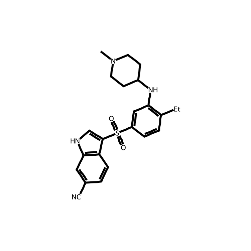 CCc1ccc(S(=O)(=O)c2c[nH]c3cc(C#N)ccc23)cc1NC1CCN(C)CC1